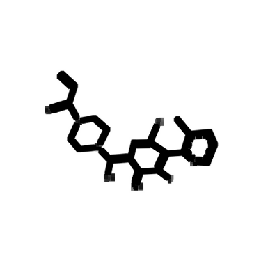 C=CC(=O)N1CCN(/C(S)=C2\C=C(Cl)C(c3ncccc3C)=C(F)C2=N)CC1